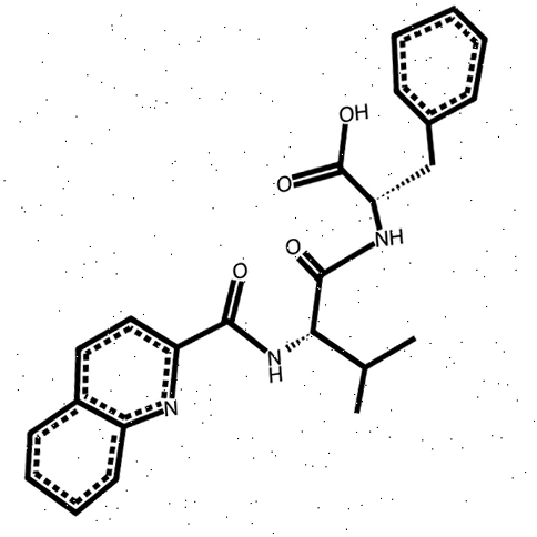 CC(C)[C@H](NC(=O)c1ccc2ccccc2n1)C(=O)N[C@@H](Cc1ccccc1)C(=O)O